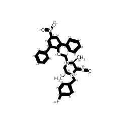 C[C@@H]1CN(COc2c(-c3ccccc3)cc([N+](=O)[O-])cc2-c2ccccc2)[C@@H](C)C(=C=O)N1Cc1ccc(F)cc1